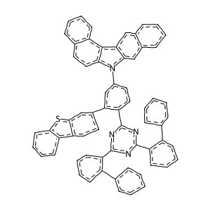 c1ccc(-c2ccccc2-c2nc(-c3ccccc3-c3ccccc3)nc(-c3ccc(-n4c5cc6ccccc6cc5c5c6ccccc6ccc54)cc3-c3ccc4c(c3)sc3ccccc34)n2)cc1